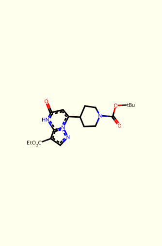 CCOC(=O)c1cnn2c(C3CCN(C(=O)OC(C)(C)C)CC3)cc(=O)[nH]c12